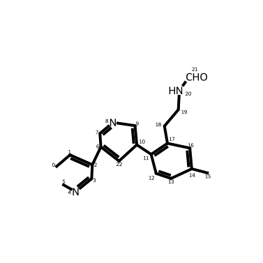 C/C=C(\C=N/C)c1cncc(-c2ccc(C)cc2CCNC=O)c1